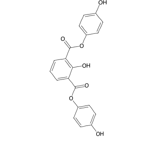 O=C(Oc1ccc(O)cc1)c1cccc(C(=O)Oc2ccc(O)cc2)c1O